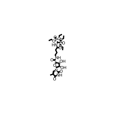 CCOP(=O)(OCC)C(NC(=O)CCCNC(=O)[C@H]1O[C@@H](n2cc(C)c(=O)[nH]c2=O)[C@H](O)[C@@H]1O)P(=O)(OCC)OCC